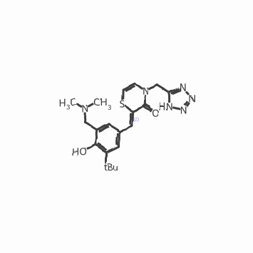 CN(C)Cc1cc(/C=C2\SC=CN(Cc3nnn[nH]3)C2=O)cc(C(C)(C)C)c1O